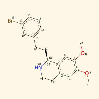 COc1cc2c(cc1OC)[C@H](CCc1cccc(Br)c1)NCC2